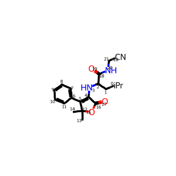 CC(C)CC(NC1=C(c2ccccc2)C(C)(C)OC1=O)C(=O)NCC#N